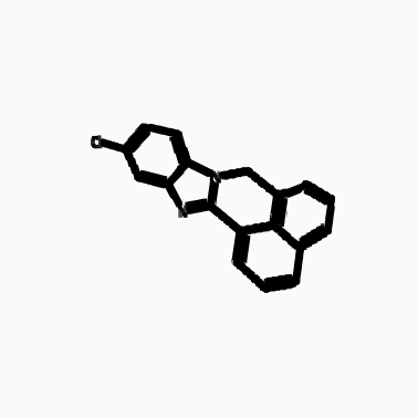 Clc1ccc2c(c1)nc1n2Cc2cccc3cccc-1c23